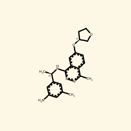 Cc1cc(N)cc([C@@H](C)Nc2nnc(C)c3ccc(O[C@H]4CCOC4)cc23)c1